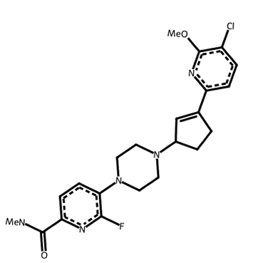 CNC(=O)c1ccc(N2CCN(C3C=C(c4ccc(Cl)c(OC)n4)CC3)CC2)c(F)n1